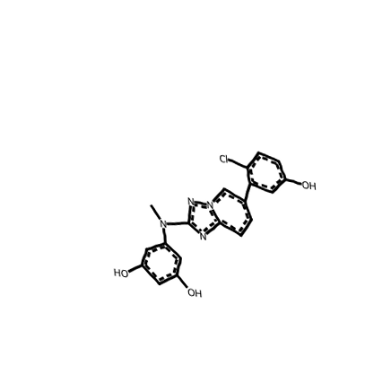 CN(c1cc(O)cc(O)c1)c1nc2ccc(-c3cc(O)ccc3Cl)cn2n1